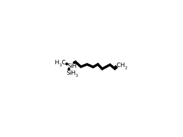 C=CCCCCCCC[SiH](C)[SiH3]